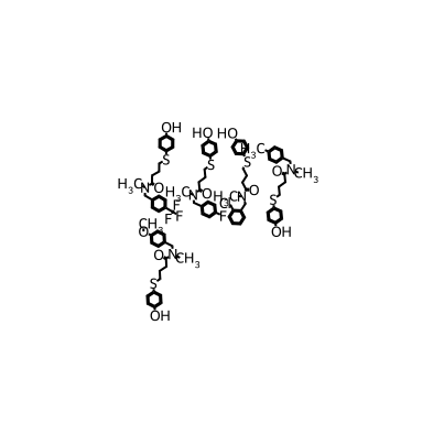 CN(Cc1ccc(C(F)(F)F)cc1)C(=O)CCCSc1ccc(O)cc1.CN(Cc1ccc(F)cc1)C(=O)CCCSc1ccc(O)cc1.CN(Cc1ccccc1Cl)C(=O)CCCSc1ccc(O)cc1.COc1ccc(CN(C)C(=O)CCCSc2ccc(O)cc2)cc1.Cc1ccc(CN(C)C(=O)CCCSc2ccc(O)cc2)cc1